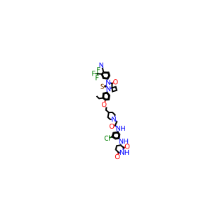 CCc1cc(N2C(=S)N(c3ccc(C#N)c(C(F)(F)F)c3)C(=O)C23CCC3)ccc1OCCC1CCN(CC(=O)Nc2cc(Cl)cc(NC3CCC(=O)NC3=O)c2)CC1